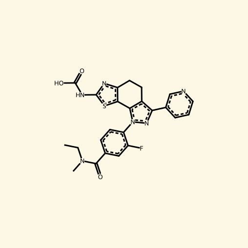 CCN(C)C(=O)c1ccc(-n2nc(-c3cccnc3)c3c2-c2sc(NC(=O)O)nc2CC3)c(F)c1